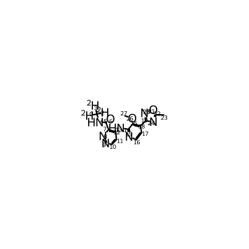 [2H]C([2H])([2H])NC(=O)c1nnccc1Nc1nccc(-c2noc(C)n2)c1OC